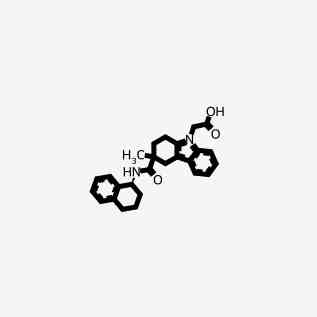 CC1(C(=O)N[C@@H]2CCCc3ccccc32)CCc2c(c3ccccc3n2CC(=O)O)C1